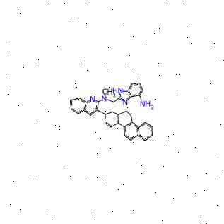 CN(Cc1nc2c(N)cccc2[nH]1)c1nc2ccccc2cc1C1C=CC2=C(CCc3c2ccc2ccccc32)C1